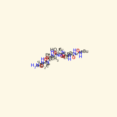 CCCCNC(=O)CNC(=O)CNC(CC)(CCC)C(=O)CN(CC(=O)O)C(=O)CNC(=O)CNC(C)(CC)C(=O)CN(CC(=O)O)C(=O)CNC(=O)CN